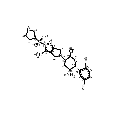 Cc1c2c(nn1S(=O)(=O)C1CCOC1)CN([C@@H]1C[C@H](N)[C@@H](c3cc(F)ccc3F)O[C@@H]1C(F)(F)F)C2